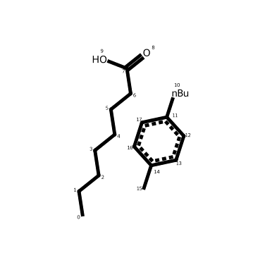 CCCCCCCC(=O)O.CCCCc1ccc(C)cc1